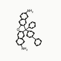 Nc1ccc2cc3c(cc2c1)C(c1ccccc1)(c1ccc(-c2ccccc2)cc1)c1cc2cc(N)ccc2cc1O3